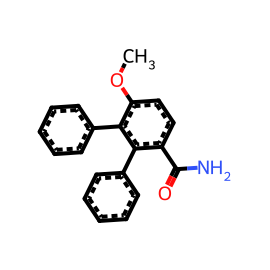 COc1ccc(C(N)=O)c(-c2ccccc2)c1-c1ccccc1